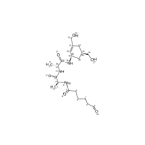 C[C@H](NC(=O)CCCCC=O)C(=O)N[C@H](C)C(=O)N[C@H]1C=C(CO)C[C@@H](CO)C1